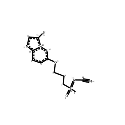 CS(=O)(CCCOc1ccc2ncc(Br)n2n1)=NC#N